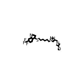 COC1CN(Cc2cn(CCCCCCSc3ccnc4cc(C(F)(F)F)ccc34)nn2)C1